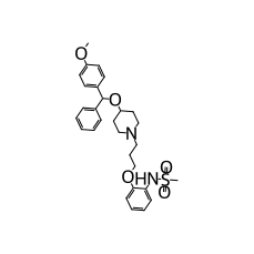 COc1ccc(C(OC2CCN(CCCOc3ccccc3NS(C)(=O)=O)CC2)c2ccccc2)cc1